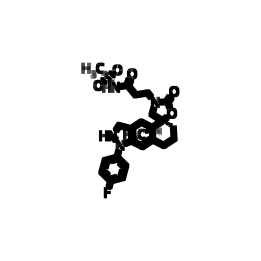 C[C@]12CC3=C(C=C1CCC[C@@]21CN(CCC(=O)NS(C)(=O)=O)C(=O)O1)N(c1ccc(F)cc1)NC3